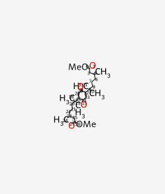 COC(=O)CC(C)CCCC(C)(C)C1=CC(=O)C(C(C)(C)CCCC(C)CC(=O)OC)=CC1=O